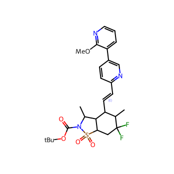 COc1ncccc1-c1ccc(/C=C/C2C3C(C)N(C(=O)OC(C)(C)C)S(=O)(=O)C3CC(F)(F)C2C)nc1